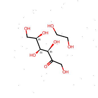 O=C(CO)[C@H](O)[C@@H](O)[C@H](O)CO.OCCO